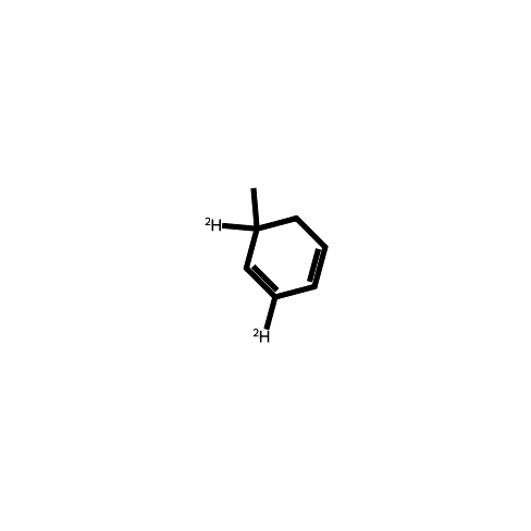 [2H]C1=CC([2H])(C)CC=C1